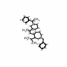 CC(C)C1CN(Cc2ccccc2)CCCC1CC(C)C1CCCN(C(C)c2ccccc2)C1